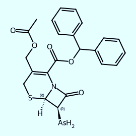 CC(=O)OCC1=C(C(=O)OC(c2ccccc2)c2ccccc2)N2C(=O)[C@@H]([AsH2])[C@H]2SC1